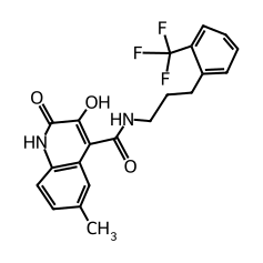 Cc1ccc2[nH]c(=O)c(O)c(C(=O)NCCCc3ccccc3C(F)(F)F)c2c1